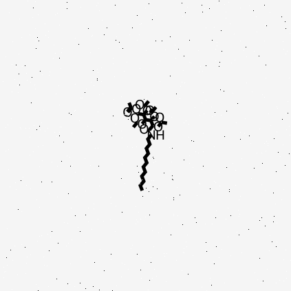 CCCCCCCCCCCCNC(=O)C(OC(C)=O)C(OC(C)=O)C(OC(C)=O)C(COC(C)=O)OC(C)=O